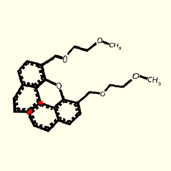 COCCOCc1ccc2ccccc2c1Oc1c(COCCOC)ccc2ccccc12